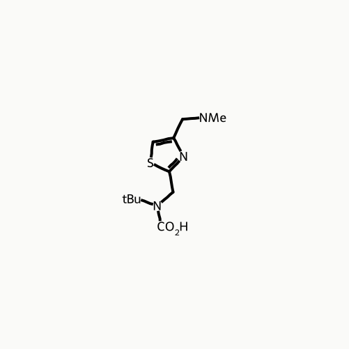 CNCc1csc(CN(C(=O)O)C(C)(C)C)n1